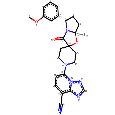 COc1cccc([C@@H]2CC[C@H]3OC4(CCN(c5ccc(C#N)c6ncnn56)CC4)C(=O)N32)c1